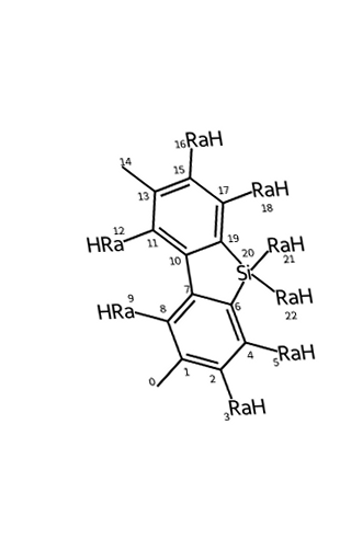 Cc1[c]([RaH])[c]([RaH])c2c([c]1[RaH])-c1[c]([RaH])c(C)[c]([RaH])[c]([RaH])c1[Si]2([RaH])[RaH]